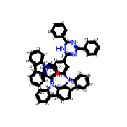 c1ccc(C2=NC(c3ccccc3)NC(c3cc(-n4c5ccccc5c5ccccc54)cc(-n4c5ccccc5c5ccc6c7ccccc7n(-c7ccccc7)c6c54)c3)=N2)cc1